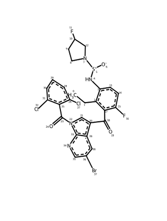 CCc1c(N[S+]([O-])N2CCC(F)C2)ccc(F)c1C(=O)c1cn(C(=O)c2c(Cl)cccc2Cl)c2ncc(Br)cc12